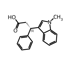 Cn1cc([C@@H](CC(=O)O)c2ccccc2)c2ccccc21